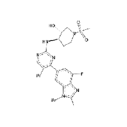 Cc1nc2c(F)cc(-c3nc(N[C@@H]4CCN(S(C)(=O)=O)C[C@H]4O)ncc3C(C)C)cc2n1C(C)C